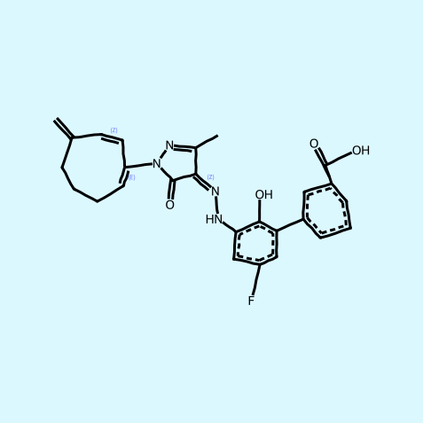 C=C1/C=C\C(N2N=C(C)/C(=N/Nc3cc(F)cc(-c4cccc(C(=O)O)c4)c3O)C2=O)=C/CCC1